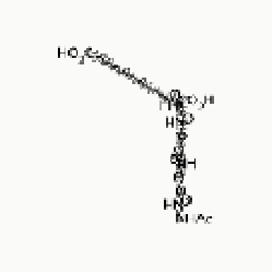 CC(=O)NCCNC(=O)COCCOCCNC(=O)COCCOCCNC(=O)CC[C@H](NC(=O)CCCCCCCCCCCCCCCCCCCCC(=O)O)C(=O)O